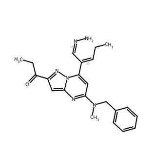 CC/C=C(\C=N/N)c1cc(N(C)Cc2ccccc2)nc2cc(C(=O)CC)nn12